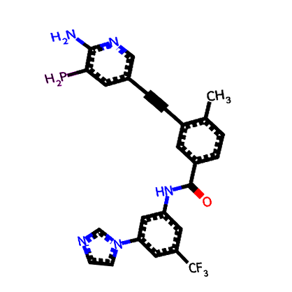 Cc1ccc(C(=O)Nc2cc(-n3ccnc3)cc(C(F)(F)F)c2)cc1C#Cc1cnc(N)c(P)c1